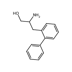 NC(CO)Cc1ccccc1-c1ccccc1